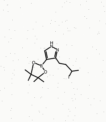 CC(I)CCc1n[nH]cc1B1OC(C)(C)C(C)(C)O1